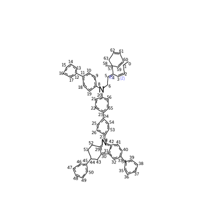 CC/C=C\C(=C/CN(c1ccc(-c2ccccc2)cc1)c1ccc(-c2ccc(-n3c4c(c5cc(-c6ccccc6)ccc53)CC(c3ccccc3)CC4)cc2)cc1)C1(C)C=CC=CC1